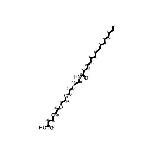 CCCCCCCCCCCCCCCC(=O)NCCOCCOCCOCCOCCC(=O)O